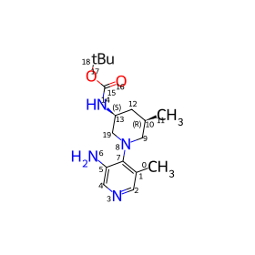 Cc1cncc(N)c1N1C[C@H](C)C[C@H](NC(=O)OC(C)(C)C)C1